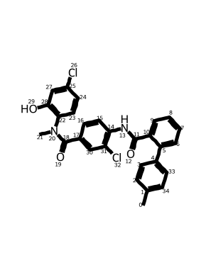 Cc1ccc(-c2ccccc2C(=O)Nc2ccc(C(=O)N(C)c3ccc(Cl)cc3O)cc2Cl)cc1